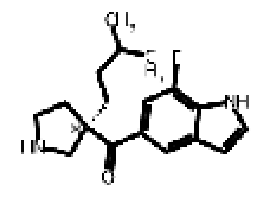 CC(C)CC[C@@]1(C(=O)c2cc(F)c3[nH]ccc3c2)CCNC1